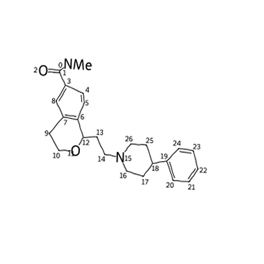 CNC(=O)c1ccc2c(c1)CCOC2CCN1CCC(c2ccccc2)CC1